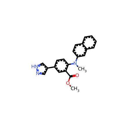 COC(=O)c1cc(-c2cn[nH]c2)ccc1N(C)c1ccc2ccccc2c1